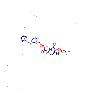 O=C(NOC[C@H]1C[C@@H](Cn2cccc2)CN1)[C@@H]1CC[C@@H]2CN1C(=O)N2OS(=O)(=O)O